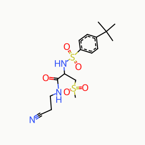 CC(C)(C)c1ccc(S(=O)(=O)NC(CS(C)(=O)=O)C(=O)NCCC#N)cc1